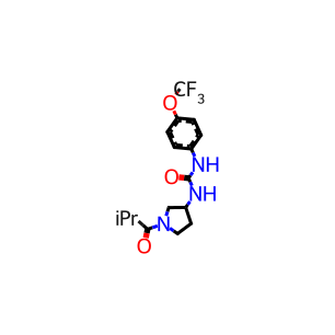 CC(C)C(=O)N1CCC(NC(=O)Nc2ccc(OC(F)(F)F)cc2)C1